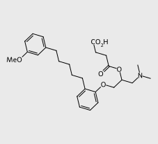 COc1cccc(CCCCCc2ccccc2OCC(CN(C)C)OC(=O)CCC(=O)O)c1